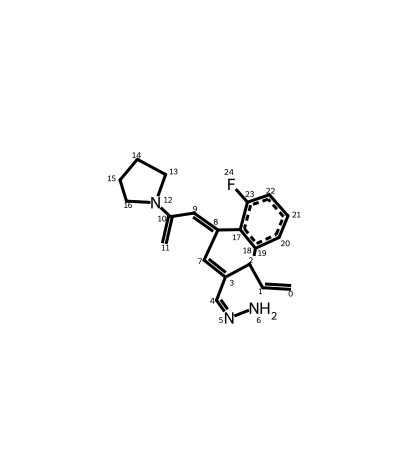 C=CCC(/C=N\N)=C\C(=C/C(=C)N1CCCC1)c1c(C)cccc1F